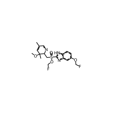 COC1(C)C=C(C)C=NC1C[SH](=O)(OCF)c1nc2cc(OCF)ccc2[nH]1